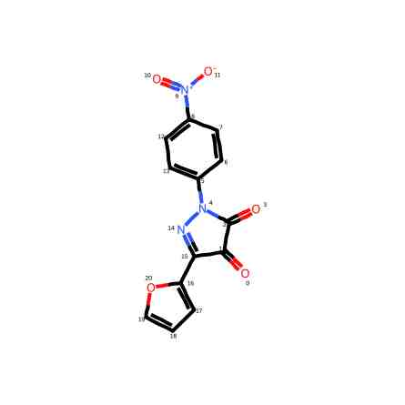 O=C1C(=O)N(c2ccc([N+](=O)[O-])cc2)N=C1c1ccco1